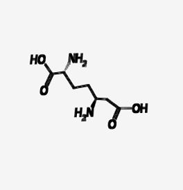 N[C@@H](CC[C@@H](N)C(=O)O)CC(=O)O